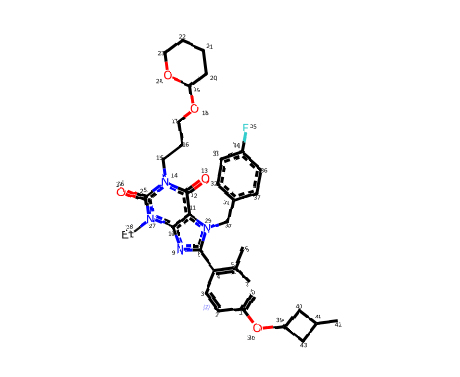 C=C(/C=C\C(=C(C)C)c1nc2c(c(=O)n(CCCOC3CCCCO3)c(=O)n2CC)n1Cc1ccc(F)cc1)OC1CC(C)C1